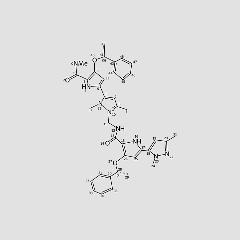 CNC(=O)c1[nH]c(-c2cc(C)[n+](CNC(=O)c3[nH]c(-c4cc(C)nn4C)cc3O[C@H](C)c3ccccc3)n2C)cc1O[C@@H](C)c1ccccc1